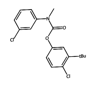 CN(C(=O)Oc1ccc(Cl)c(C(C)(C)C)c1)c1cccc(Cl)c1